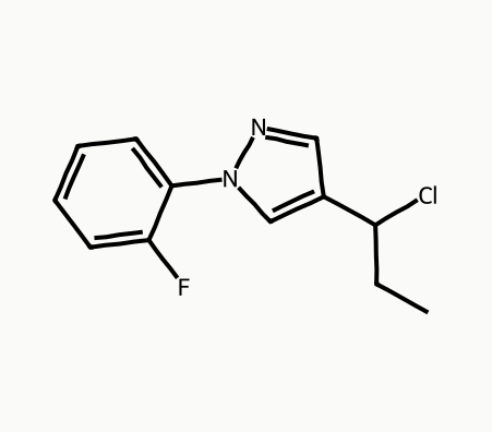 CCC(Cl)c1cnn(-c2ccccc2F)c1